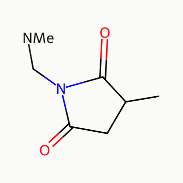 CNCN1C(=O)CC(C)C1=O